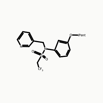 CCCC(C)Oc1cccc(N(Cc2cccnc2)S(=O)(=O)CC(F)(F)F)c1